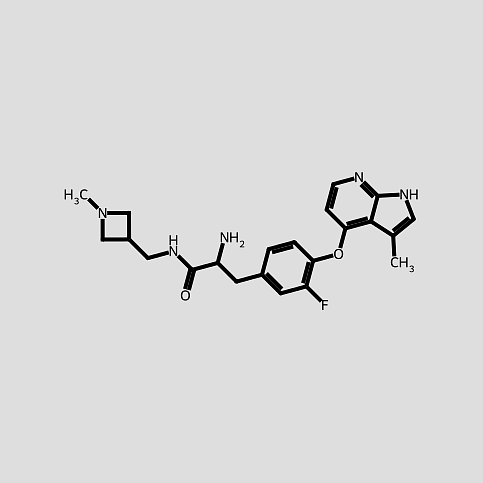 Cc1c[nH]c2nccc(Oc3ccc(CC(N)C(=O)NCC4CN(C)C4)cc3F)c12